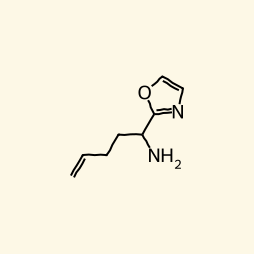 C=CCCC(N)c1ncco1